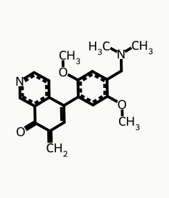 C=C1C=C(c2cc(OC)c(CN(C)C)cc2OC)c2ccncc2C1=O